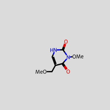 COCc1c[nH]c(=O)n(OC)c1=O